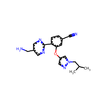 CC(C)Cn1cc(Oc2cc(C#N)ccc2-c2ncc(CN)cn2)cn1